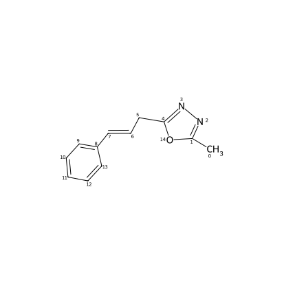 Cc1nnc(CC=Cc2ccccc2)o1